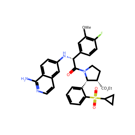 CCOC(=O)[C@H]1CCN(C(=O)[C@H](Nc2ccc3c(N)nccc3c2)c2ccc(F)c(OC)c2)[C@H]1c1ccccc1S(=O)(=O)C1CC1